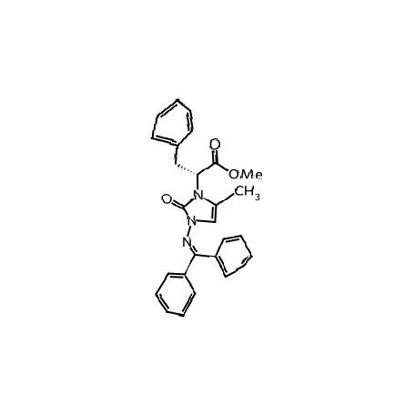 COC(=O)[C@@H](Cc1ccccc1)n1c(C)cn(N=C(c2ccccc2)c2ccccc2)c1=O